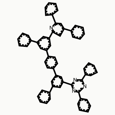 c1ccc(-c2cc(-c3ccc(-c4cc(-c5ccccc5)cc(-c5nc(-c6ccccc6)nc(-c6ccccc6)n5)c4)cc3)cc(-c3cc(-c4ccccc4)cc(-c4ccccc4)n3)c2)cc1